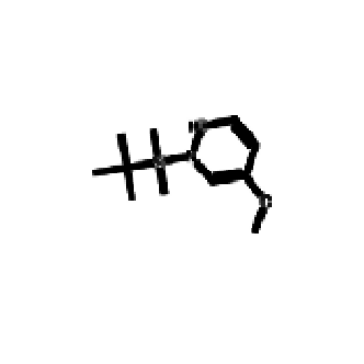 COC1=CN([Si](C)(C)C(C)(C)C)BC=C1